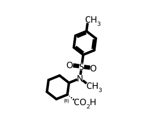 Cc1ccc(S(=O)(=O)N(C)C2CCCC[C@H]2C(=O)O)cc1